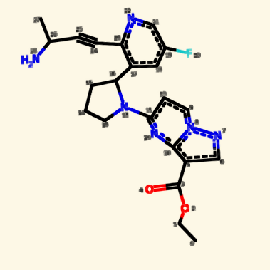 CCOC(=O)c1cnn2ccc(N3CCCC3c3cc(F)cnc3C#CC(C)N)nc12